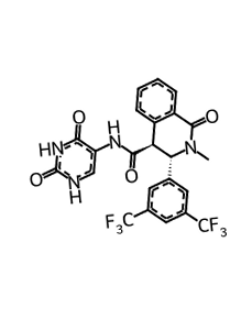 CN1C(=O)c2ccccc2[C@H](C(=O)Nc2c[nH]c(=O)[nH]c2=O)[C@H]1c1cc(C(F)(F)F)cc(C(F)(F)F)c1